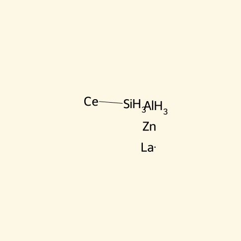 [AlH3].[La].[SiH3][Ce].[Zn]